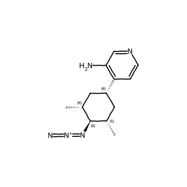 C[C@@H]1C[C@H](c2ccncc2N)C[C@H](C)[C@H]1N=[N+]=[N-]